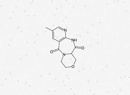 Cc1cnc2c(c1)C(=O)N1CCOCC1C(=O)N2